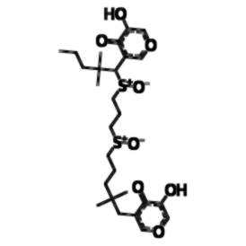 CCCC(C)(C)C(c1cocc(O)c1=O)[S+]([O-])CCC[S+]([O-])CCCC(C)(C)Cc1cocc(O)c1=O